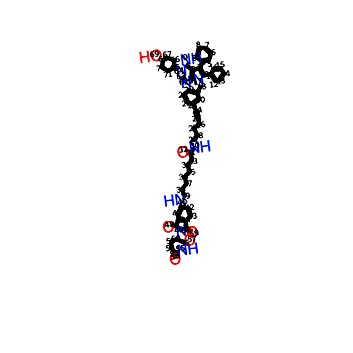 N=c1c2c(-c3ccccc3)c(-c3ccccc3)n(Cc3cccc(C#CCCCCNC(=O)CCCCCCCNc4ccc5c(c4)C(=O)N(C4CCC(=O)NC4=O)C5=O)c3)c2ncn1C1CCC(O)CC1